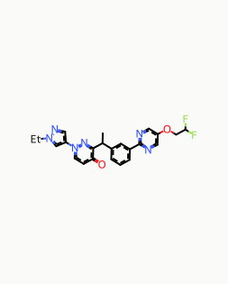 CCn1cc(-n2ccc(=O)c(C(C)c3cccc(-c4ncc(OCC(F)F)cn4)c3)n2)cn1